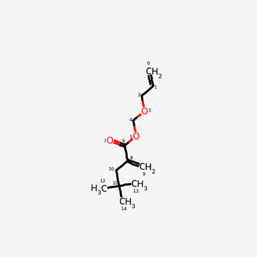 C=CCOCOC(=O)C(=C)CC(C)(C)C